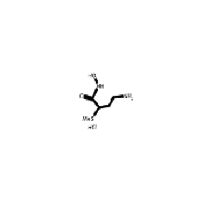 CSC(CCN)C(=O)NO.Cl